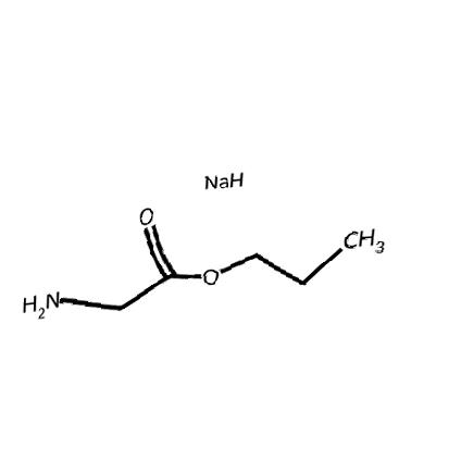 CCCOC(=O)CN.[NaH]